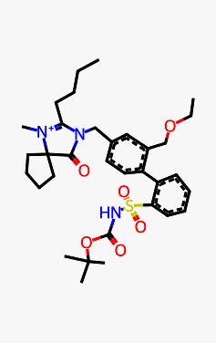 CCCCC1=[N+](C)C2(CCCC2)C(=O)N1Cc1ccc(-c2ccccc2S(=O)(=O)NC(=O)OC(C)(C)C)c(COCC)c1